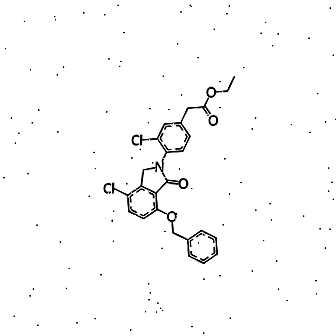 CCOC(=O)Cc1ccc(N2Cc3c(Cl)ccc(OCc4ccccc4)c3C2=O)c(Cl)c1